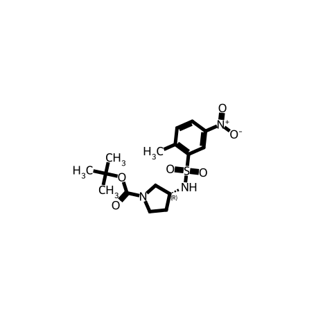 Cc1ccc([N+](=O)[O-])cc1S(=O)(=O)N[C@@H]1CCN(C(=O)OC(C)(C)C)C1